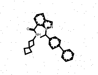 CC(c1ccc(-c2ccccc2)cc1)n1ncc2cccc(C(=O)NC3CC4(CCC4)C3)c21